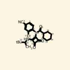 CCc1cc(C#N)ccc1N(C(=O)C1CCCCC1)c1c(NC(C)C(C)(C)C)c(=O)c1=O